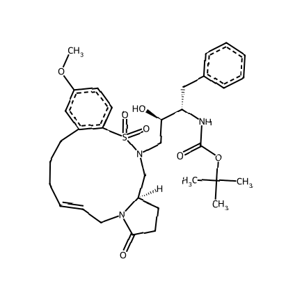 COc1ccc2c(c1)CCC/C=C/CN1C(=O)CC[C@@H]1CN(C[C@@H](O)[C@H](Cc1ccccc1)NC(=O)OC(C)(C)C)S2(=O)=O